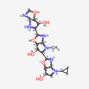 Cn1c(-c2nc3c(o2)c(O)cn3C2CC2)c(O)c2oc(-c3[nH]c4ncoc4c3O)nc21